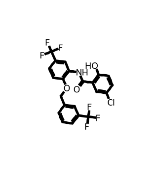 O=C(Nc1cc(C(F)(F)F)ccc1OCc1cccc(C(F)(F)F)c1)c1cc(Cl)ccc1O